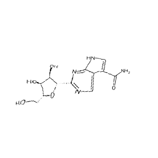 NC(=O)c1c[nH]c2nc([C@@H]3O[C@H](CO)[C@@H](O)[C@H]3O)ncc12